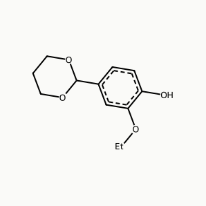 CCOc1cc(C2OCCCO2)ccc1O